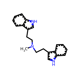 CN(CCc1c[nH]c2ccccc12)CCc1c[nH]c2ccccc12